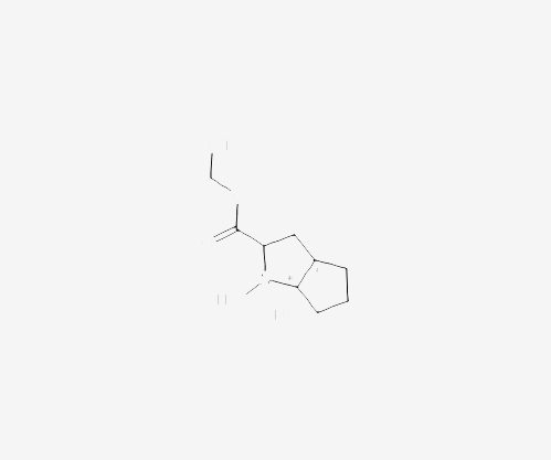 CCOC(=O)C1C[C@H]2CCC[C@H]2N1C